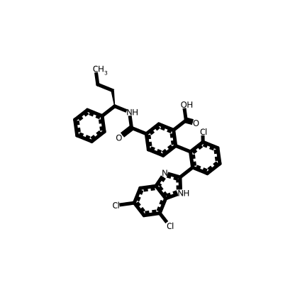 CCC[C@@H](NC(=O)c1ccc(-c2c(Cl)cccc2-c2nc3cc(Cl)cc(Cl)c3[nH]2)c(C(=O)O)c1)c1ccccc1